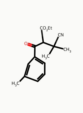 CCOC(=O)C(C(=O)c1cccc(C)c1)C(C)(C)C#N